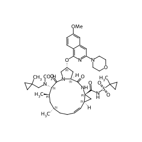 COc1ccc2c(O[C@@H]3C[C@H]4C(=O)N[C@]5(C(=O)NS(=O)(=O)C6(C)CC6)C[C@H]5C=CCC[C@H](C)C[C@@H](C)[C@H](N(CC5(C)CC5)C(=O)O)C(=O)N4C3)nc(N3CCOCC3)cc2c1